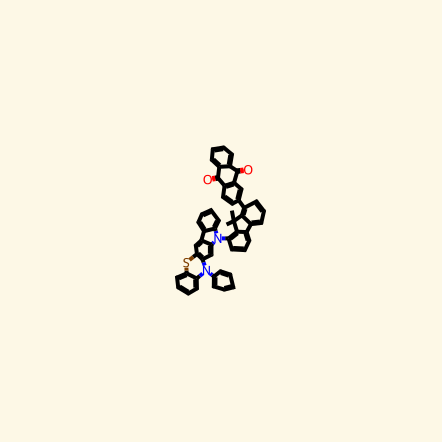 CC1(C)c2c(-c3ccc4c(c3)C(=O)c3ccccc3C4=O)cccc2-c2cccc(-n3c4ccccc4c4cc5c(cc43)N(c3ccccc3)c3ccccc3S5)c21